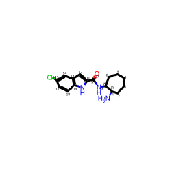 N[C@@H]1CCCCCC1NC(=O)c1cc2cc(Cl)ccc2[nH]1